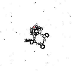 O=S(=O)([O-])c1c(S(=O)(=O)[O-])c(S(=O)(=O)[O-])c2c3nc4nc(nc5[n-]c(nc6nc(nc([nH]3)c2c1S(=O)(=O)[O-])-c1ccccc1-6)c1ccccc51)-c1ccccc1-4.[Na+].[Zn+2].[Zn+2]